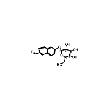 O=Cc1ccc2cc(O[C@@H]3O[C@H](CO)[C@H](O)[C@H](O)[C@H]3O)ccc2c1